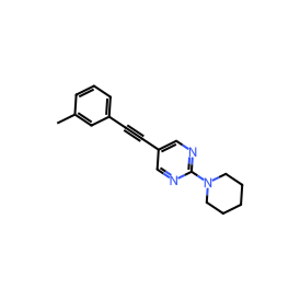 Cc1cccc(C#Cc2cnc(N3CCCCC3)nc2)c1